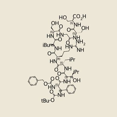 CC[C@H](C)[C@H](NC(=O)[C@@H](CCCNC(=N)N)NC(=O)[C@H](CC(C)C)NC(=O)[C@@H](NC(=O)[C@@H](NC(=O)OCc1ccccc1)[C@H](NC(=O)OC(C)(C)C)c1ccccc1)[C@H](O)C(C)C)C(=O)N[C@@H](CO)C(=O)NCC(=O)N[C@@H](CO)C(=O)N[C@@H](CO)C(=O)O